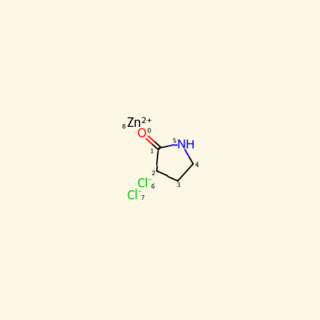 O=C1CCCN1.[Cl-].[Cl-].[Zn+2]